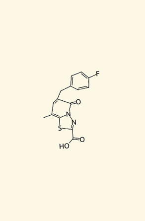 Cc1cc(Cc2ccc(F)cc2)c(=O)n2nc(C(=O)O)sc12